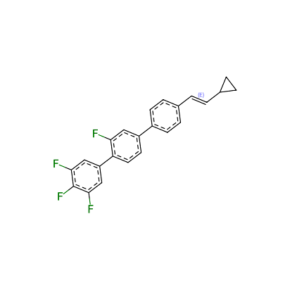 Fc1cc(-c2ccc(/C=C/C3CC3)cc2)ccc1-c1cc(F)c(F)c(F)c1